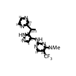 CNc1nc(Nc2cn[nH]c2C(C)c2cnccn2)ncc1C(F)(F)F